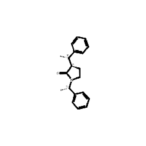 C[C@H](c1ccccc1)[C@H]1CCN([C@@H](C)c2ccccc2)C1=O